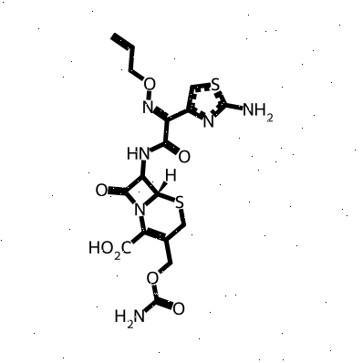 C=CCON=C(C(=O)NC1C(=O)N2C(C(=O)O)=C(COC(N)=O)CS[C@@H]12)c1csc(N)n1